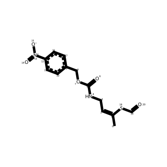 C/C(=C/CNC(=O)OCc1ccc([N+](=O)[O-])cc1)SC=O